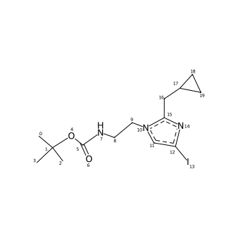 CC(C)(C)OC(=O)NCCn1cc(I)nc1CC1CC1